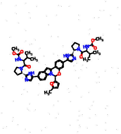 COC(=O)N[C@H](C(=O)N1CCC[C@H]1c1ncc(-c2ccc3c(c2)OC(c2ccc(C)o2)n2c-3cc3cc(-c4cnc([C@@H]5CCCN5C(=O)[C@@H](NC(=O)OC)C(C)C)[nH]4)ccc32)[nH]1)C(C)C